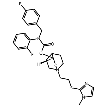 Cn1ccnc1SCC[N+]12CCC(CC1)[C@@H](OC(=O)N(Cc1ccc(F)cc1)c1ccccc1F)C2